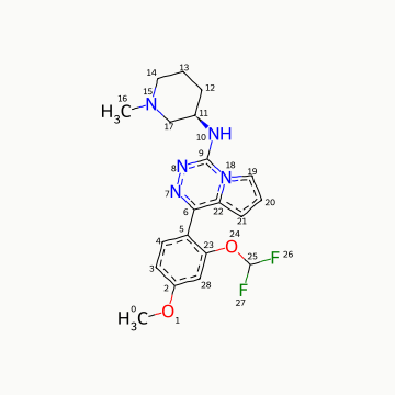 COc1ccc(-c2nnc(N[C@@H]3CCCN(C)C3)n3cccc23)c(OC(F)F)c1